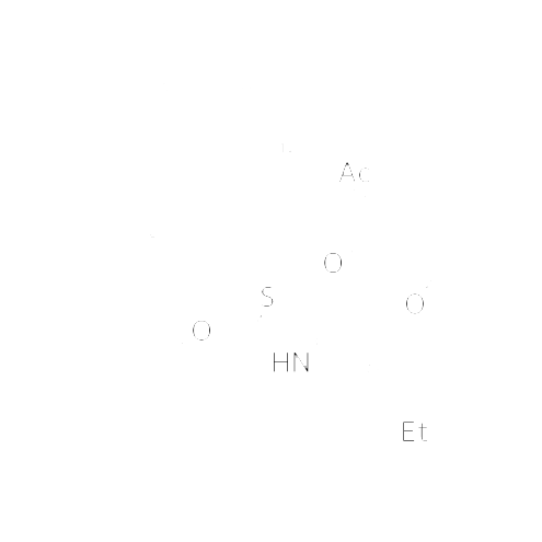 CCC(=O)NS(=O)(=O)c1ccccc1C(C)=O